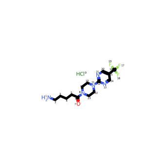 Cl.NCCCCC(=O)N1CCN(c2ncc(C(F)(F)F)cn2)CC1